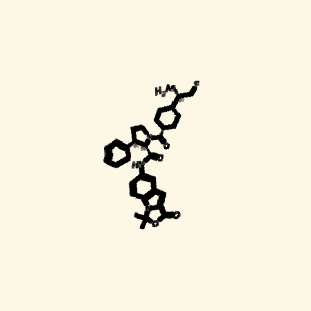 CC1(C)OC(=O)c2cc3cc(NC(=O)[C@@H]4[C@@H](c5ccccc5)CCN4C(=O)[C@H]4CC[C@H]([C@H]([AsH2])CF)CC4)ccc3n21